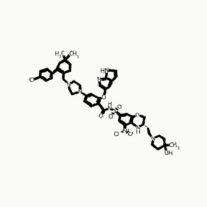 CC1(C)CCC(CN2CCN(c3ccc(C(=O)NS(=O)(=O)c4cc5c(c([N+](=O)[O-])c4)N[C@@H](CCN4CCC(C)(O)CC4)CO5)c(Oc4cnc5[nH]ccc5c4)c3)CC2)=C(c2ccc(Cl)cc2)C1